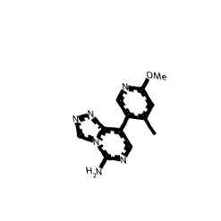 COc1cc(C)c(-c2cnc(N)n3cnnc23)cn1